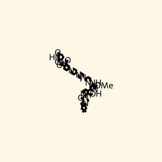 COc1ncc(-c2ccnc(N3CCn4c(cc5c4CC(C)(C)C5)C3=O)c2[C@H](C)O)cc1Nc1ccc(N2CCN(C3CCN(c4ccc5c(c4)C(=O)N([C@H]4CCC(=O)NC4=O)C5=O)CC3)C[C@@H]2C)cn1